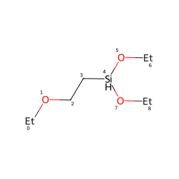 CCOCC[SiH](OCC)OCC